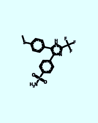 CSc1ccc(-c2[nH]c(C(F)(F)F)nc2-c2ccc(S(N)(=O)=O)cc2)cc1